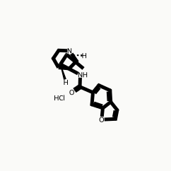 C[C@H]1[C@H](NC(=O)c2ccc3ccoc3c2)C2CCN1CC2.Cl